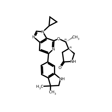 C[C@@H](Oc1nc(-c2ccc3c(c2)NCC3(C)C)cc2ncn(C3CC3)c12)[C@H]1CNC(=O)C1